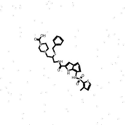 Cc1ccsc1S(=O)(=O)Nc1cccc2cc(C(=O)NCC(CN3CCN(C(=O)O)CC3)SCc3ccccc3)[nH]c12